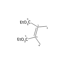 CCOC(=O)/C(C)=C(/C)C(=O)OCC